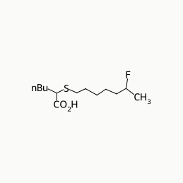 CCCCC(SCCCCCC(C)F)C(=O)O